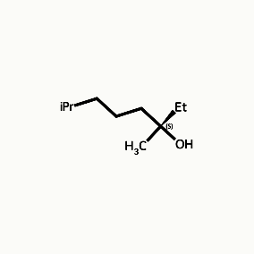 CC[C@](C)(O)CCCC(C)C